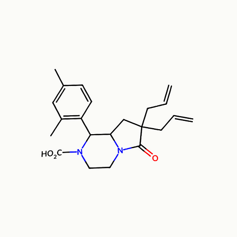 C=CCC1(CC=C)CC2C(c3ccc(C)cc3C)N(C(=O)O)CCN2C1=O